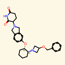 O=C1CCC(N2Cc3ccc(O[C@H]4CCCC[C@@H]4N4CC(OCc5ccccc5)C4)cc3C2)C(=O)N1